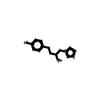 CCCCC(CCc1ccc(Cl)cc1)Cn1ccnc1